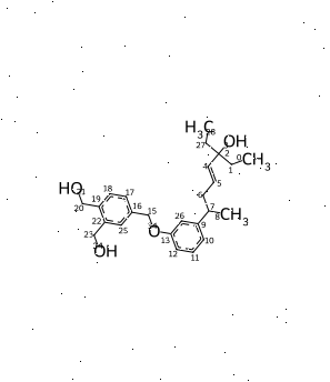 CCC(O)(/C=C/CC(C)c1cccc(OCc2ccc(CO)c(CO)c2)c1)CC